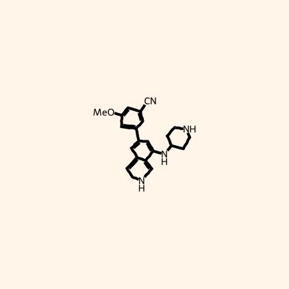 COc1cc(C#N)cc(-c2cc(NC3CCNCC3)c3c(c2)=CCNC=3)c1